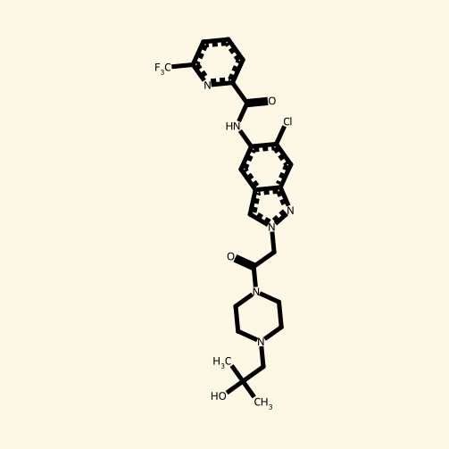 CC(C)(O)CN1CCN(C(=O)Cn2cc3cc(NC(=O)c4cccc(C(F)(F)F)n4)c(Cl)cc3n2)CC1